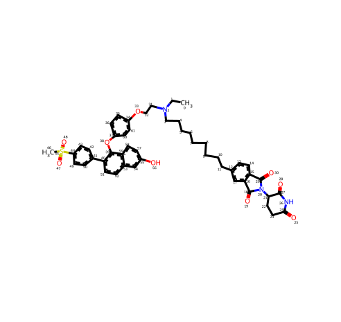 CCN(CCCCCCCCCc1ccc2c(c1)C(=O)N(C1CCC(=O)NC1=O)C2=O)CCOc1ccc(Oc2c(-c3ccc(S(C)(=O)=O)cc3)ccc3cc(O)ccc23)cc1